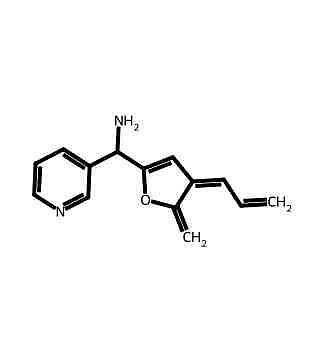 C=C/C=c1/cc(C(N)c2cccnc2)oc1=C